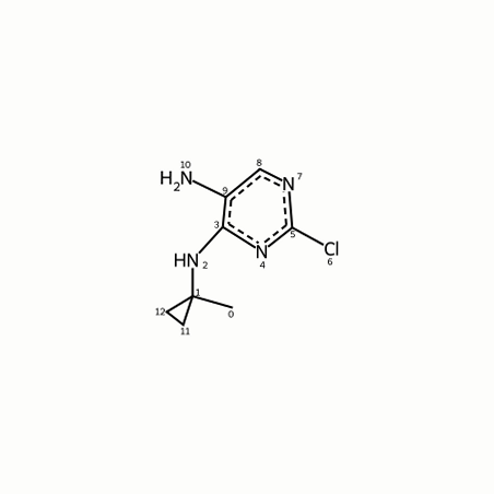 CC1(Nc2nc(Cl)ncc2N)CC1